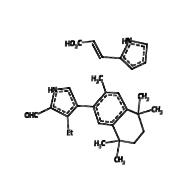 CCc1c(-c2cc3c(cc2C)C(C)(C)CCC3(C)C)c[nH]c1C=O.O=C(O)C=Cc1ccc[nH]1